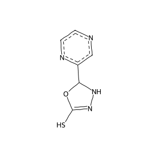 SC1=NNC(c2cnccn2)O1